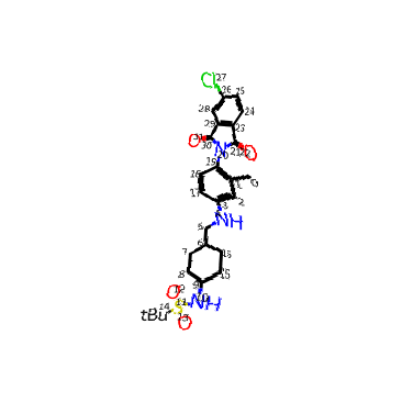 Cc1cc(NCC2CCC(NS(=O)(=O)C(C)(C)C)CC2)ccc1N1C(=O)c2ccc(Cl)cc2C1=O